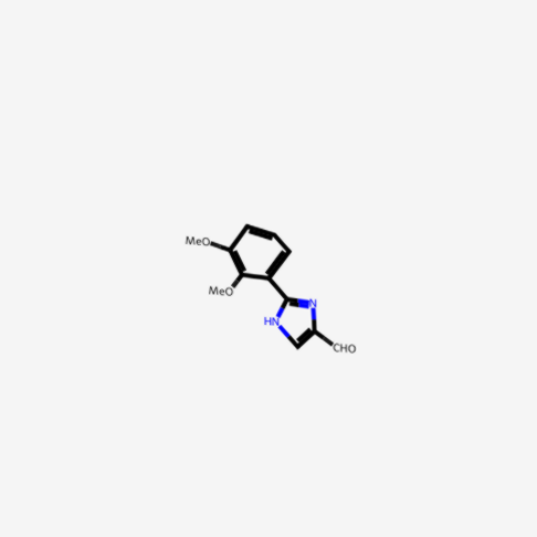 COc1cccc(-c2nc(C=O)c[nH]2)c1OC